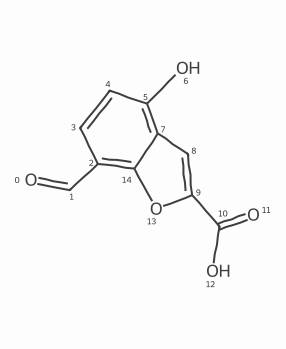 O=Cc1ccc(O)c2cc(C(=O)O)oc12